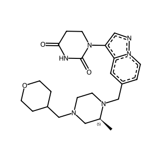 C[C@H]1CN(CC2CCOCC2)CCN1Cc1ccn2ncc(N3CCC(=O)NC3=O)c2c1